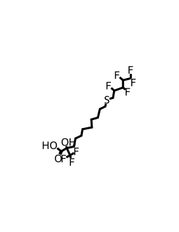 O=C(O)C(O)(CCCCCCCCCSCC(F)C(F)C(F)C(F)F)C(F)(F)F